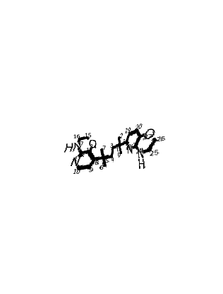 CC(C)(CCC(C)(C)c1ccnc2c1OCCN2)c1ccc2c(n1)NCCO2